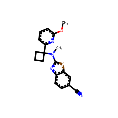 COc1cccc(C2(N(C)c3nc4ccc(C#N)cc4s3)CCC2)n1